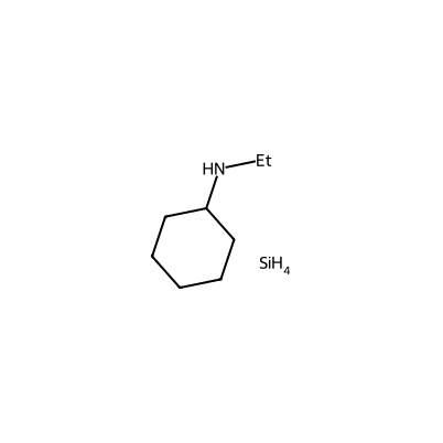 CCNC1CCCCC1.[SiH4]